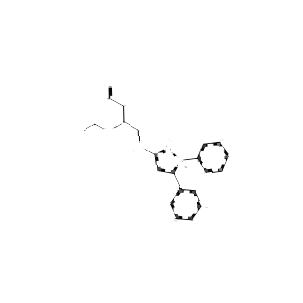 CCOC(CC=O)COc1cc(-c2ccccc2)n(-c2ccccc2)n1